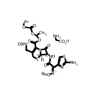 COCC1=C(C(=O)OC(C)OC(=O)OC(C)C)N2C(=O)[C@@H](NC(=O)/C(=N\OC)c3csc(N)n3)[C@H]2SC1.NCC(=O)O